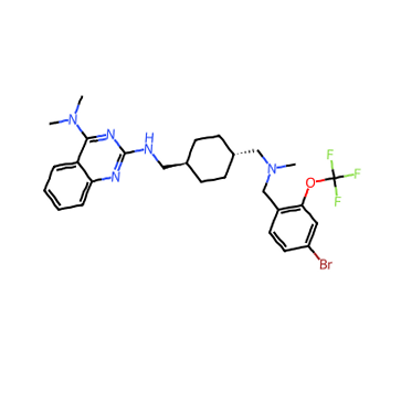 CN(Cc1ccc(Br)cc1OC(F)(F)F)C[C@H]1CC[C@H](CNc2nc(N(C)C)c3ccccc3n2)CC1